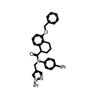 CC(C)c1ccc(N(Cc2cnn(C(C)C)c2)C(=O)C2CCCc3c(OCc4ccccc4)cccc32)cc1